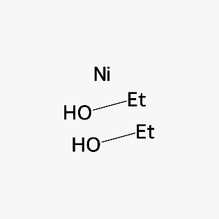 CCO.CCO.[Ni]